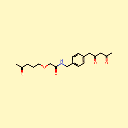 CC(=O)CCCOCC(=O)NCc1ccc(CC(=O)CC(C)=O)cc1